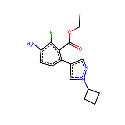 CCOC(=O)c1c(-c2cnn(C3CCC3)c2)ccc(N)c1F